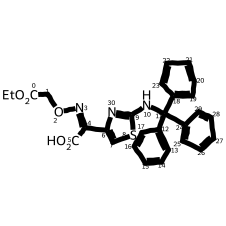 CCOC(=O)CON=C(C(=O)O)c1csc(NC(c2ccccc2)(c2ccccc2)c2ccccc2)n1